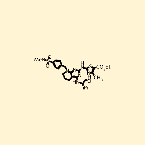 CCOC(=O)c1sc(Nc2nc(NC(CO)C(C)C)c3c(n2)N(Cc2ccc(S(=O)(=O)NC)cc2)CCC3)nc1C